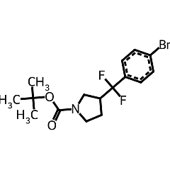 CC(C)(C)OC(=O)N1CCC(C(F)(F)c2ccc(Br)cc2)C1